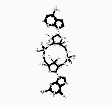 Nc1nc2c(ncn2[C@@H]2O[C@@H]3COP(O)(=S)O[C@H]4[C@H](F)[C@H](n5ccc6c(N)ccnc65)O[C@@H]4COP(O)(=S)O[C@@H]2[C@H]3F)c(=O)[nH]1